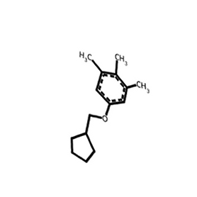 Cc1cc(OCC2CCCC2)cc(C)c1C